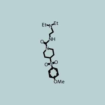 CCN(CC)CCNC(=O)N1CCC(S(=O)(=O)c2ccc(OC)cc2)CC1